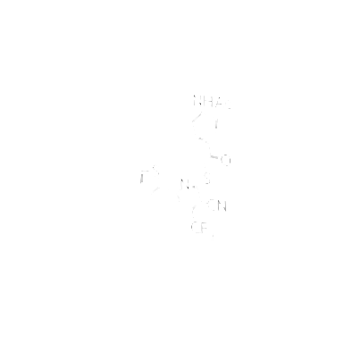 CC(=O)Nc1ccc(C(=O)CSc2nc(-c3cccs3)cc(C(F)(F)F)c2C#N)cc1